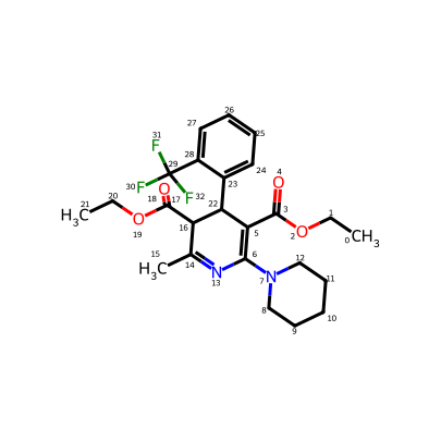 CCOC(=O)C1=C(N2CCCCC2)N=C(C)C(C(=O)OCC)C1c1ccccc1C(F)(F)F